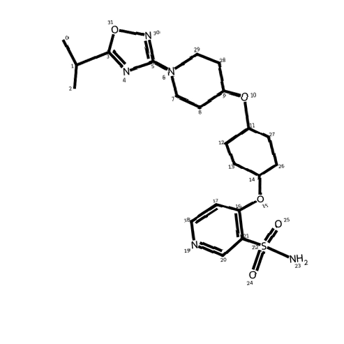 CC(C)c1nc(N2CCC(OC3CCC(Oc4ccncc4S(N)(=O)=O)CC3)CC2)no1